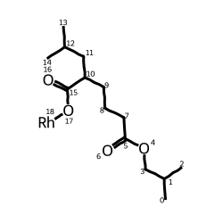 CC(C)COC(=O)CCCC(CC(C)C)C(=O)[O][Rh]